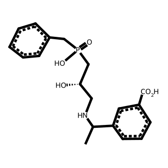 CC(NC[C@H](O)CP(=O)(O)Cc1ccccc1)c1cccc(C(=O)O)c1